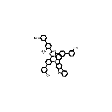 N#Cc1cccc(-c2ccc(-c3nc(-c4ccc(-c5cccc(C#N)c5)cc4N)nc(-c4ccc(-c5cccc(C#N)c5)cc4-n4c5ccccc5c5cc6c(cc54)sc4ccccc46)n3)cc2)c1